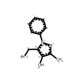 Cc1nn(-c2ccccc2)c(CC(C)C)c1O